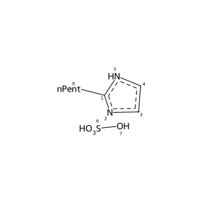 CCCCCc1ncc[nH]1.O=S(=O)(O)O